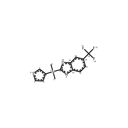 C[Si](C)(c1ccsc1)c1nc2ccc(C(F)(F)F)cc2o1